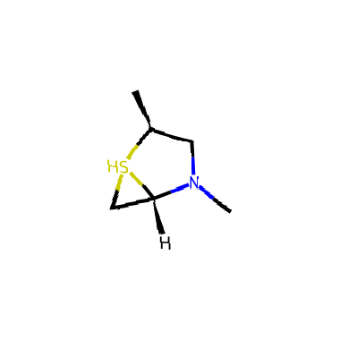 C[C@H]1CN(C)[C@@H]2C[SH]12